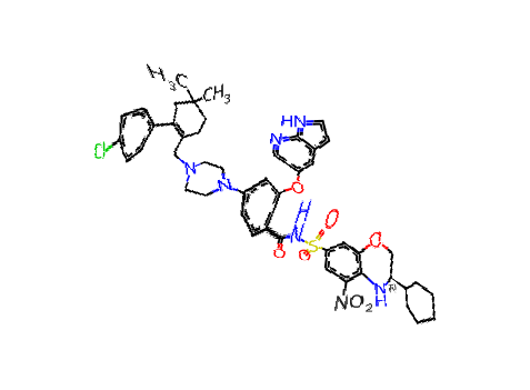 CC1(C)CCC(CN2CCN(c3ccc(C(=O)NS(=O)(=O)c4cc5c(c([N+](=O)[O-])c4)N[C@H](C4CCCCC4)CO5)c(Oc4cnc5[nH]ccc5c4)c3)CC2)=C(c2ccc(Cl)cc2)C1